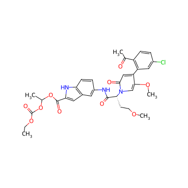 CCOC(=O)OC(C)OC(=O)c1cc2cc(NC(=O)[C@@H](CCOC)n3cc(OC)c(-c4cc(Cl)ccc4C(C)=O)cc3=O)ccc2[nH]1